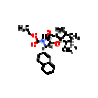 CCOC(=O)N1C(=O)[C@H](O[Si](C(C)C)(C(C)C)C(C)C)[C@@H]1c1ccc2ccccc2c1